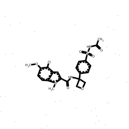 COc1ccc2c(cc(C(=O)NC3(c4ccc(S(=O)(=O)NC(C)=O)cc4)COC3)n2C)c1Cl